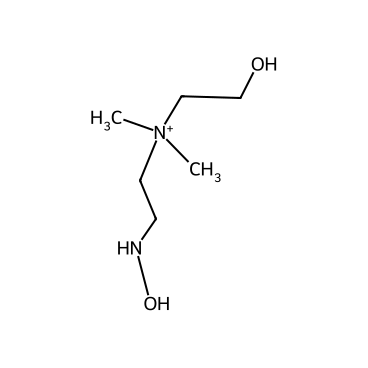 C[N+](C)(CCO)CCNO